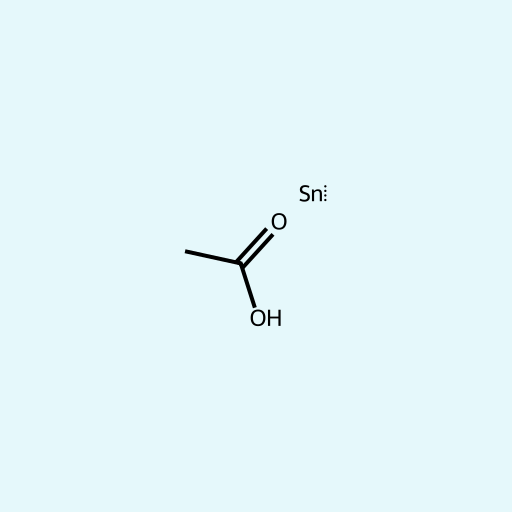 CC(=O)O.[Sn]